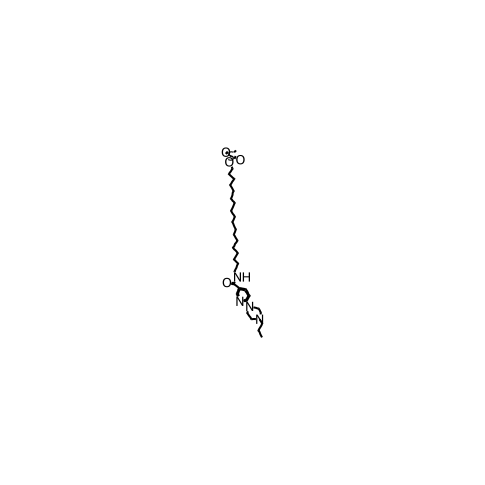 CCCN1CCN(c2ccc(C(=O)NCCCCCCCCCCCCCCCCCCOS(C)(=O)=O)cn2)CC1